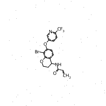 C=CC(=O)NC1CCOc2c1ccc(Oc1ccc(C(F)(F)F)nc1)c2Br